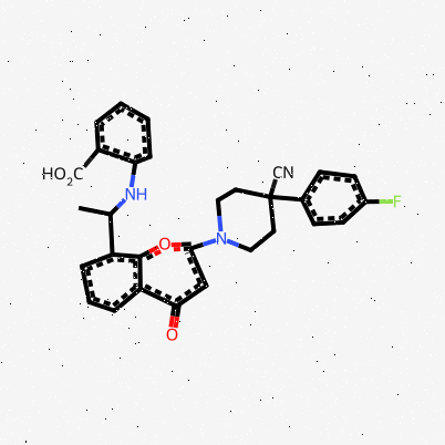 CC(Nc1ccccc1C(=O)O)c1cccc2c(=O)cc(N3CCC(C#N)(c4ccc(F)cc4)CC3)oc12